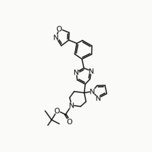 CC(C)(C)OC(=O)N1CCC(c2cnc(-c3cccc(-c4cnoc4)c3)nc2)(n2cccn2)CC1